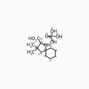 CC1(C)SC2(CCCCC2)NC1C(=O)O.O=P(O)(O)O